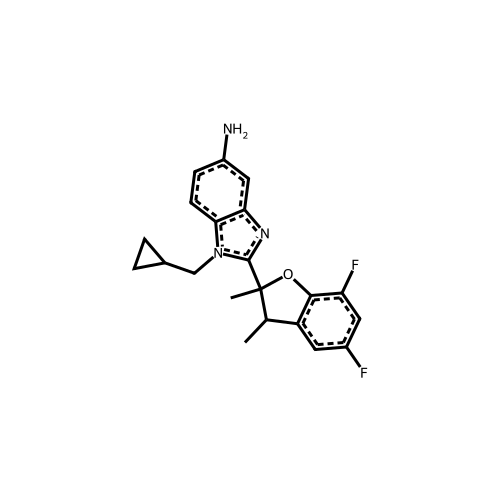 CC1c2cc(F)cc(F)c2OC1(C)c1nc2cc(N)ccc2n1CC1CC1